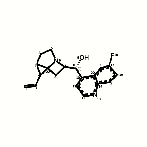 C=CC1C2CCN3C([C@H](O)c4ccnc5ccc(F)cc45)CC123